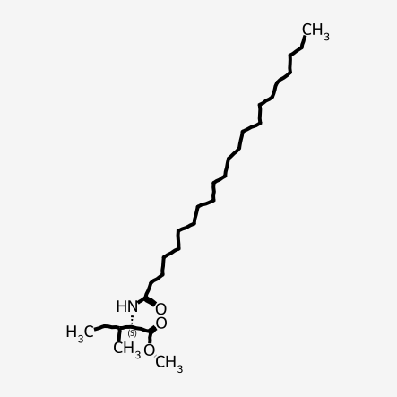 CCCCCCCCCCCCCCCCCCCCCC(=O)N[C@H](C(=O)OC)C(C)CC